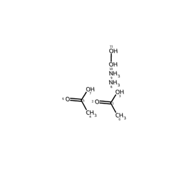 CC(=O)O.CC(=O)O.N.N.OO